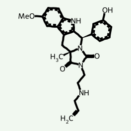 C=CCNCCN1C(=O)N2[C@H](c3cccc(O)c3)c3[nH]c4ccc(OC)cc4c3C[C@@]2(C)C1=O